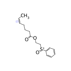 C/C=C\CCCC(=O)OCC[S+]([O-])c1ccccc1